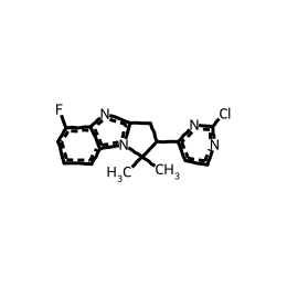 CC1(C)C(c2ccnc(Cl)n2)Cc2nc3c(F)cccc3n21